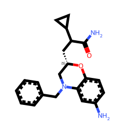 NC(=O)C(C[C@H]1CN(Cc2ccccc2)c2cc(N)ccc2O1)C1CC1